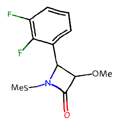 COC1C(=O)N(SC)C1c1cccc(F)c1F